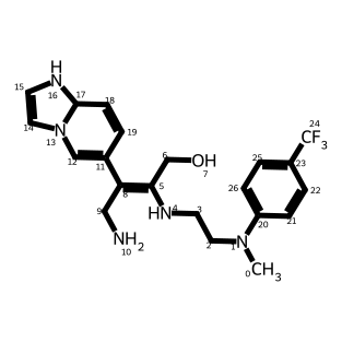 CN(CCN/C(CO)=C(\CN)C1=CN2C=CNC2C=C1)c1ccc(C(F)(F)F)cc1